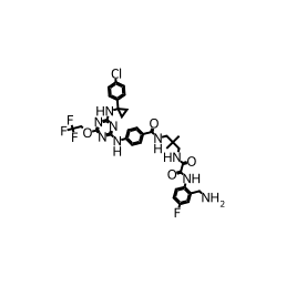 CC(C)(CNC(=O)C(=O)Nc1ccc(F)cc1CN)CNC(=O)c1ccc(Nc2nc(NC3(c4ccc(Cl)cc4)CC3)nc(OCC(F)(F)F)n2)cc1